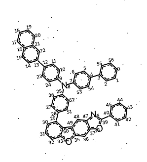 c1ccc(-c2ccc(N(c3ccc(-c4ccc5ccccc5c4)cc3)c3ccc(-c4cccc5oc6cc7oc(-c8ccccc8)nc7cc6c45)cc3)cc2)cc1